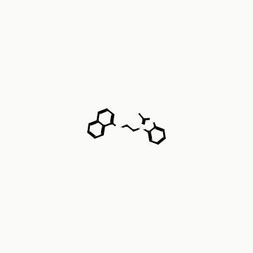 Cc1sc2ccccc2[n+]1CCOc1cccc2ccccc12